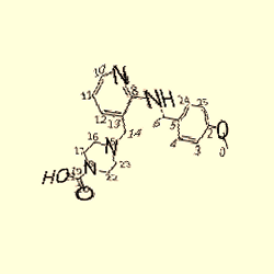 COc1ccc(CNc2ncccc2CN2CCN(C(=O)O)CC2)cc1